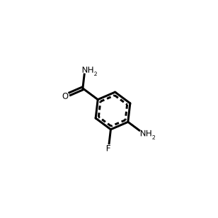 NC(=O)c1ccc(N)c(F)c1